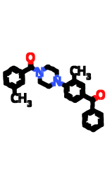 Cc1cccc(C(=O)N2CCN(c3ccc(C(=O)c4ccccc4)cc3C)CC2)c1